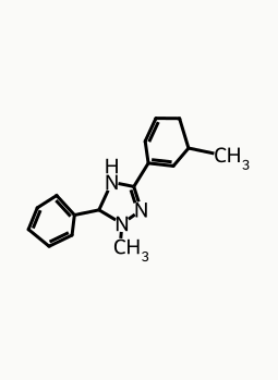 CC1C=C(C2=NN(C)C(c3ccccc3)N2)C=CC1